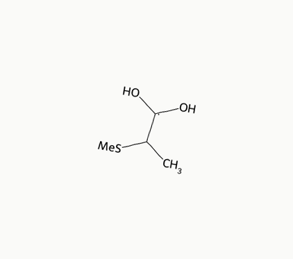 CSC(C)[C](O)O